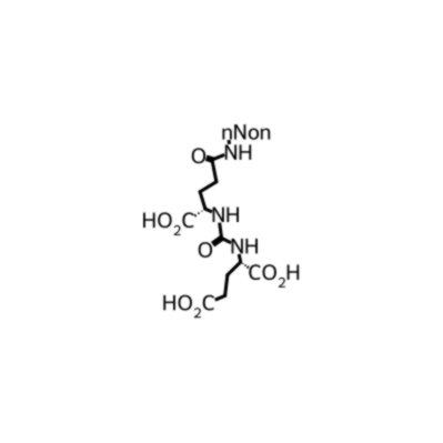 CCCCCCCCCNC(=O)CC[C@H](NC(=O)N[C@@H](CCC(=O)O)C(=O)O)C(=O)O